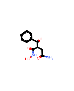 NC(=O)CC(C(=O)NO)C(=O)c1ccccc1